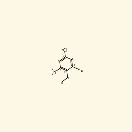 CCc1c(N)cc(Cl)cc1F